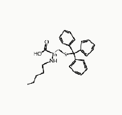 CCCCCN[C@@H](CSC(c1ccccc1)(c1ccccc1)c1ccccc1)C(=O)O